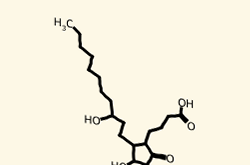 CCCCCCCCC(O)CCC1C(O)CC(=O)C1CCCC(=O)O